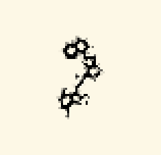 Cc1[nH]c2c(F)ccc(C)c2c1CCNc1ncnc2cc(-c3cccc4ccccc34)sc12